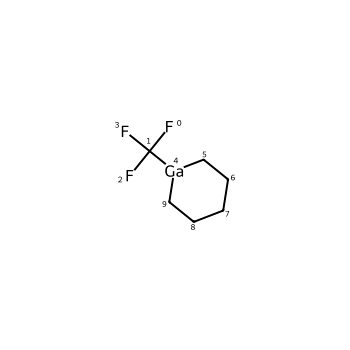 F[C](F)(F)[Ga]1[CH2]CCC[CH2]1